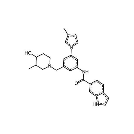 Cc1cn(-c2cc(CN3CCC(O)C(C)C3)cc(NC(=O)c3ccc4cc[nH]c4c3)c2)cn1